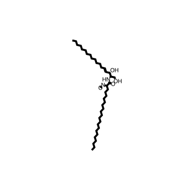 CCCCCCCCCCCCC/C=C/C(O)C(CO)NC(=O)C(CCCCCCCCCCCCCCCCCCCC)N=O